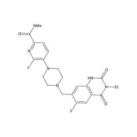 CCn1c(=O)[nH]c2cc(CN3CCN(c4ccc(C(=O)NC)nc4F)CC3)c(F)cc2c1=O